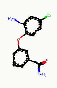 NC(=O)c1cccc(Oc2ccc(Cl)cc2N)c1